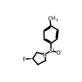 Cc1ccc([S+]([O-])N2CC[C@@H](F)C2)cc1